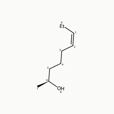 CC/C=C\CCC[C@H](C)O